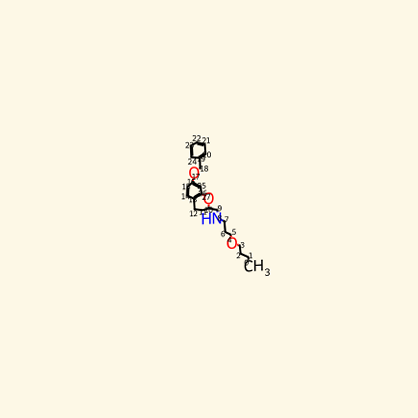 CCCCOCCCNCC1CCc2ccc(OCc3ccccc3)cc2O1